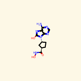 Nc1ncnc2c1nc(O)n2[C@@H]1CC[C@@H](C(=O)NO)C1